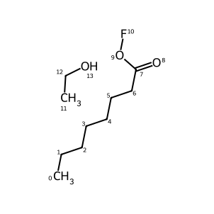 CCCCCCCC(=O)OF.CCO